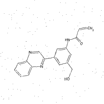 C=CC(=O)Nc1cc(CO)cc(-c2cnc3ccccc3n2)c1